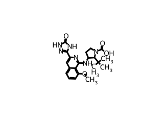 COc1cccc2cc(-c3n[nH]c(=O)[nH]3)nc(NC3CCN(C(=O)O)C3C(C)(C)C)c12